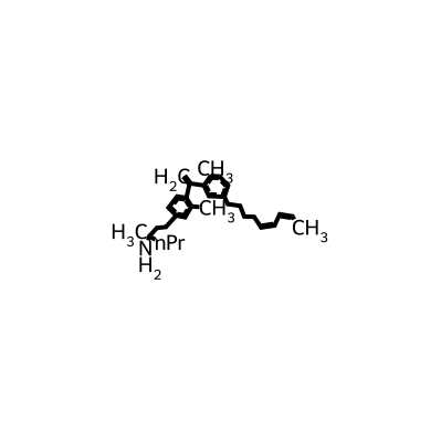 C=C(c1ccc(CCC(C)(N)CCC)cc1C)c1cc(CCCC/C=C\C=C/C)ccc1C